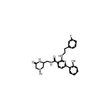 CC(=O)N1CC(=O)NC(CNC(=O)c2ccc(-c3ccccc3C#N)nc2NCCc2cccc(F)c2)C1